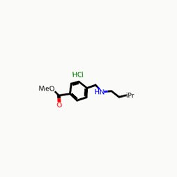 COC(=O)c1ccc(CNCCC(C)C)cc1.Cl